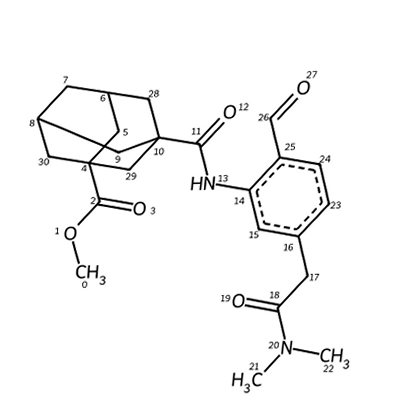 COC(=O)C12CC3CC(CC(C(=O)Nc4cc(CC(=O)N(C)C)ccc4C=O)(C3)C1)C2